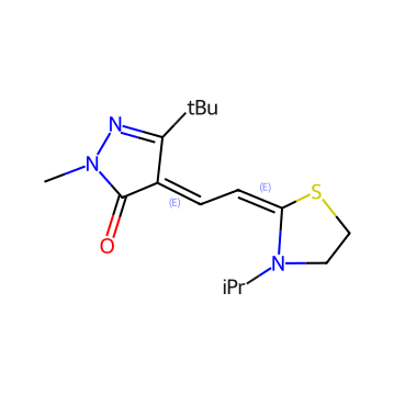 CC(C)N1CCS/C1=C/C=C1/C(=O)N(C)N=C1C(C)(C)C